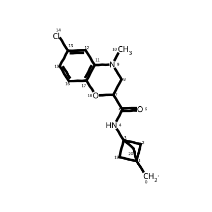 [CH2]C12CC(NC(=O)C3CN(C)c4cc(Cl)ccc4O3)(C1)C2